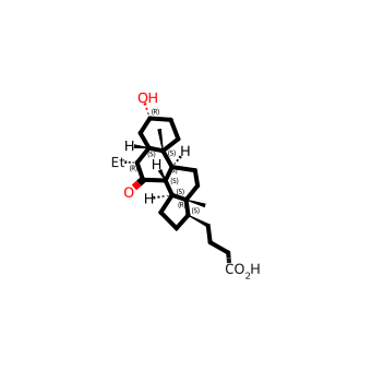 CC[C@H]1C(=O)[C@@H]2[C@H](CC[C@]3(C)[C@@H](CCCC(=O)O)CC[C@@H]23)[C@@]2(C)CC[C@@H](O)C[C@@H]12